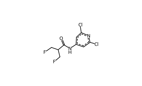 O=C(Nc1cc(Cl)nc(Cl)c1)C(CF)CF